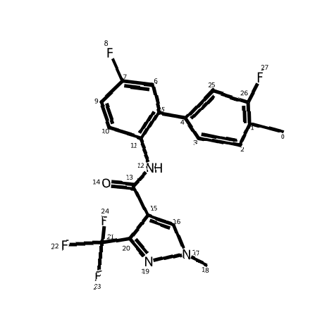 Cc1ccc(-c2cc(F)ccc2NC(=O)c2cn(C)nc2C(F)(F)F)cc1F